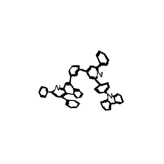 c1ccc(-c2cc(-c3cccc(-c4cc5nc(-c6ccccc6)cc(-c6ccccc6)c5c5ccccc45)c3)cc(-c3ccc(-n4c5ccccc5c5ccccc54)cc3)n2)cc1